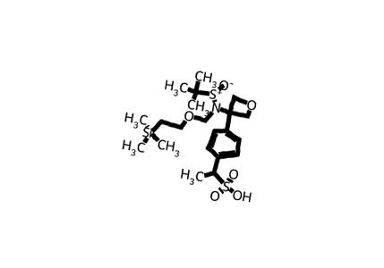 CC(c1ccc(C2(N(COCC[Si](C)(C)C)[S+]([O-])C(C)(C)C)COC2)cc1)S(=O)(=O)O